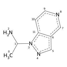 CC(N)n1ncc2cnccc21